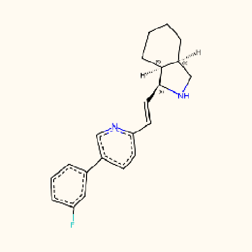 Fc1cccc(-c2ccc(C=C[C@@H]3NC[C@@H]4CCCC[C@@H]43)nc2)c1